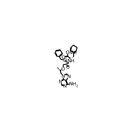 COC(=O)[C@H](CC1=CCCC=C1)NP(=O)(CO[C@H](C)Cn1cnc2c(N)ncnc21)OCc1ccccc1